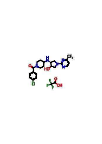 O=C(O)C(F)(F)F.O=C(c1ccc(Cl)cc1)N1CCC(N[C@@H]2CN(c3nccc(C(F)(F)F)n3)C[C@H]2O)CC1